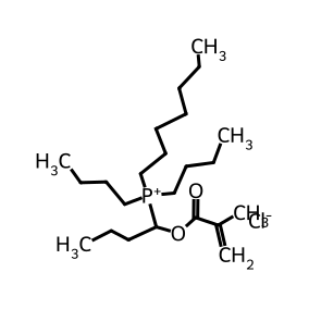 C=C(C)C(=O)OC(CCC)[P+](CCCC)(CCCC)CCCCCCC.[Cl-]